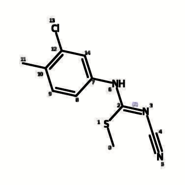 CS/C(=N\C#N)Nc1ccc(C)c(Cl)c1